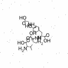 CC(C)C(N)C(=O)O.NC(Cc1ccc(O)cc1)C(=O)O.NCC(=O)O.O=C(O)[C@@H]1CCCN1